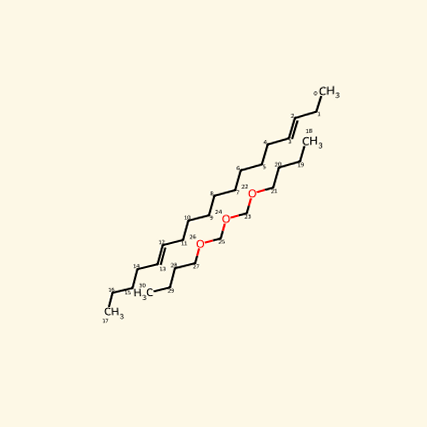 CCC=CCCCCCCCCC=CCCCC.CCCCOCOCOCCCC